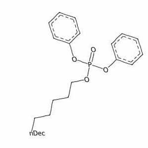 CCCCCCCCCCCCCCCOP(=O)(Oc1ccccc1)Oc1ccccc1